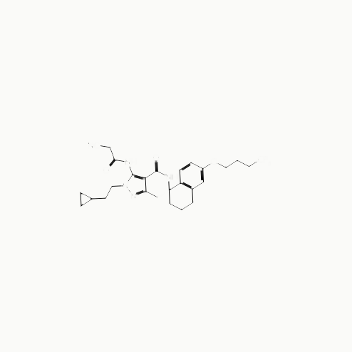 N#CCC(=O)Nc1c2c(nn1CCC1CC1)C[C@]1(CCCc3cc(OCCCC(F)(F)F)ccc31)NC2=O